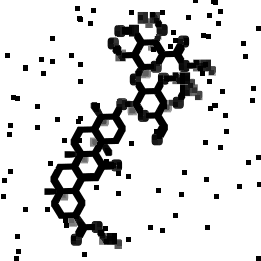 C[C@H]1C(O[C@@H]2OC(C=O)[C@@H](ON)C(ON)C2O[C@@H]2OC(C(=O)ON)[C@@H](ON)C(N=O)C2N=O)CC[C@@]2(C)C1CC[C@@]1(C)C3CC[C@@]4(C)CC[C@H](C(=O)ON)CC4C3=CC(=O)C12